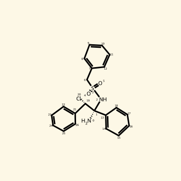 N[C@](NS(=O)(=O)Cc1ccccc1)(c1ccccc1)[C@@H](Cl)c1ccccc1